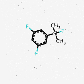 C[Si](C)(F)c1cc(F)cc(F)c1